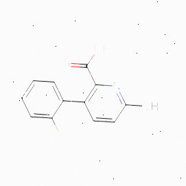 Cc1ccc(-c2ccccc2F)c(C(=O)O)n1